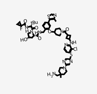 Cc1ncsc1-c1ccc(CNC(=O)[C@@H]2C[C@@H](O)CN2C(=O)[C@@H](NC(=O)C2(F)CC2)C(C)(C)C)c(OC2CCN(C(=O)C3CC(Nc4nccc(Sc5cnc(N6CCC(C)(CN)CC6)cn5)c4Cl)C3)CC2)c1